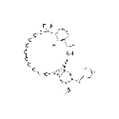 COc1cc2c3nnc(c2cc1OC1CCOC1)N[C@H](C)c1cccc(c1F)C(F)(F)COCCCCCCCO3